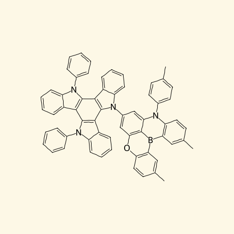 Cc1ccc(N2c3ccc(C)cc3B3c4cc(C)ccc4Oc4cc(-n5c6ccccc6c6c7c(c8ccccc8n7-c7ccccc7)c7c(c8ccccc8n7-c7ccccc7)c65)cc2c43)cc1